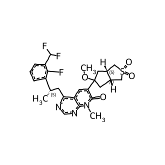 COC1(c2cc3c(C[C@H](C)c4cccc(C(F)F)c4F)ncnc3n(C)c2=O)C[C@@H]2CS(=O)(=O)C[C@@H]2C1